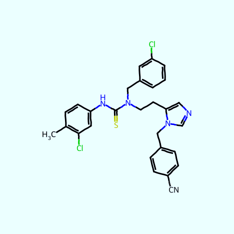 Cc1ccc(NC(=S)N(CCc2cncn2Cc2ccc(C#N)cc2)Cc2cccc(Cl)c2)cc1Cl